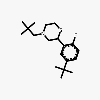 CC(C)(C)CN1CCSC(c2cc(C(C)(C)C)ccc2F)C1